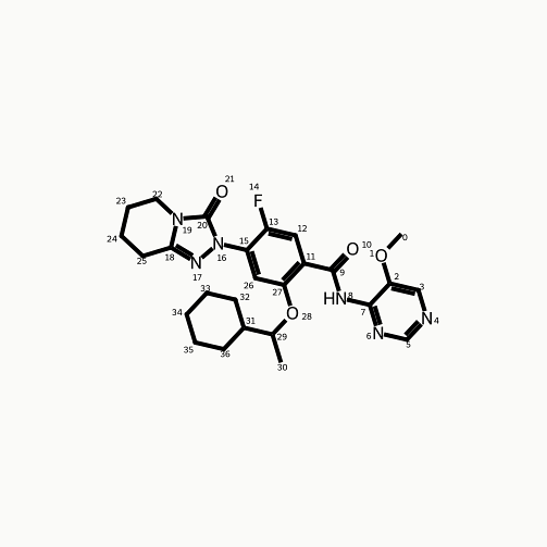 COc1cncnc1NC(=O)c1cc(F)c(-n2nc3n(c2=O)CCCC3)cc1OC(C)C1CCCCC1